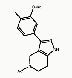 COc1cc(-c2n[nH]c3c2CN(C(C)=O)CC3)ccc1F